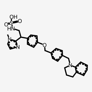 Cn1ccnc1C(CNS(=O)(=O)O)c1ccc(OCc2ccc(CN3CCCc4ccccc43)cc2)cc1